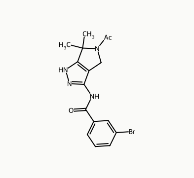 CC(=O)N1Cc2c(NC(=O)c3cccc(Br)c3)n[nH]c2C1(C)C